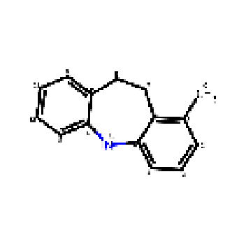 Cc1cccc2c1CCc1ccccc1N2